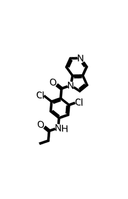 CCC(=O)Nc1cc(Cl)c(C(=O)n2ccc3cnccc32)c(Cl)c1